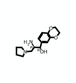 N[C@H](CN1CCCC1)[C@H](O)c1ccc2c(c1)OCCO2